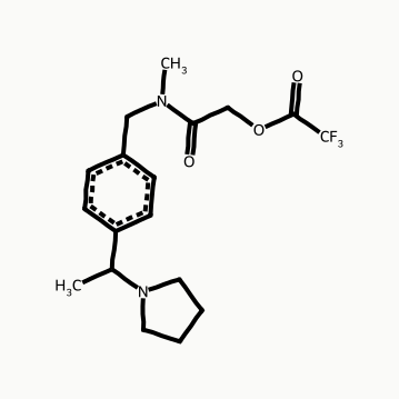 CC(c1ccc(CN(C)C(=O)COC(=O)C(F)(F)F)cc1)N1CCCC1